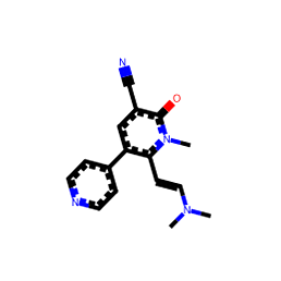 CN(C)/C=C/c1c(-c2ccncc2)cc(C#N)c(=O)n1C